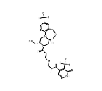 C[C@@H](COCCC(=O)N1C[C@@H]2COCc3cc(C(F)(F)F)cnc3N2C[C@H]1CO)Nc1cn[nH]c(=O)c1C(F)(F)F